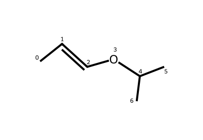 CC=COC(C)C